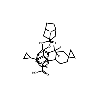 O=C(O)c1ccc(NC(=O)N2C3CCC2CC(OCc2c(C4CCC5(CC4)CC5)noc2C2CC2)C3)c(C(F)(F)F)c1